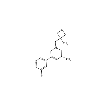 C[C@@H]1C=C(c2cncc(Cl)c2)CN(CC2(C)COC2)C1